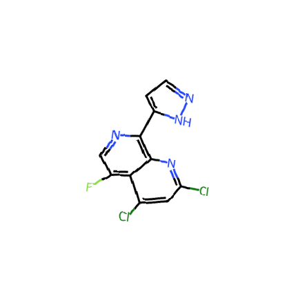 Fc1cnc(-c2ccn[nH]2)c2nc(Cl)cc(Cl)c12